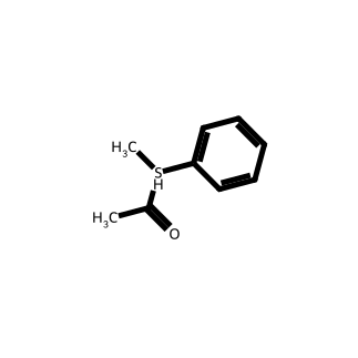 CC(=O)[SH](C)c1ccccc1